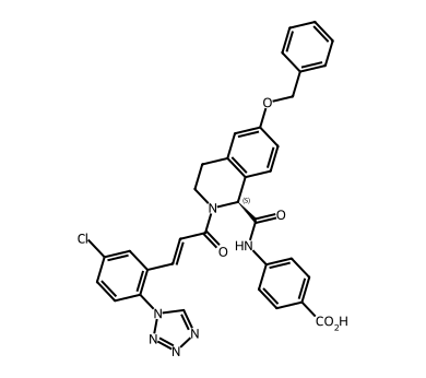 O=C(O)c1ccc(NC(=O)[C@@H]2c3ccc(OCc4ccccc4)cc3CCN2C(=O)C=Cc2cc(Cl)ccc2-n2cnnn2)cc1